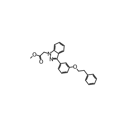 COC(=O)Cn1nc(-c2cccc(OCCc3ccccc3)c2)c2ccccc21